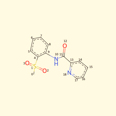 CS(=O)(=O)c1ccccc1NC(=O)c1ccccn1